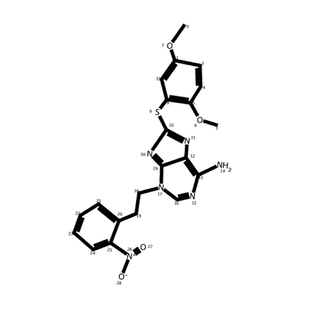 COc1ccc(OC)c(Sc2nc3c(N)ncn(CCc4ccccc4[N+](=O)[O-])c-3n2)c1